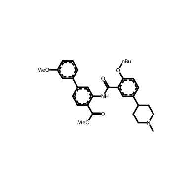 CCCCOc1ccc(C2CCN(C)CC2)cc1C(=O)Nc1cc(-c2cccc(OC)c2)ccc1C(=O)OC